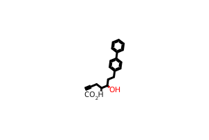 C#CCC(C(=O)O)C(O)CCc1ccc(-c2ccccc2)cc1